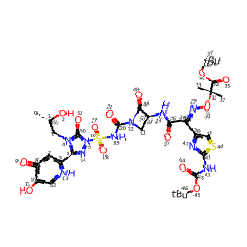 C[C@H](O)Cn1c(-c2cc(=O)c(O)c[nH]2)nn(S(=O)(=O)NC(=O)N2C[C@H](NC(=O)C(=NOC(C)(C)C(=O)OC(C)(C)C)c3csc(NC(=O)OC(C)(C)C)n3)C2=O)c1=O